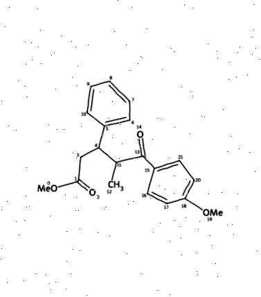 COC(=O)CC(c1ccccc1)C(C)C(=O)c1ccc(OC)cc1